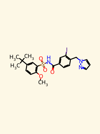 COc1ccc(C(C)(C)C)cc1S(=O)(=O)NC(=O)c1ccc(Cn2cccn2)c(I)c1